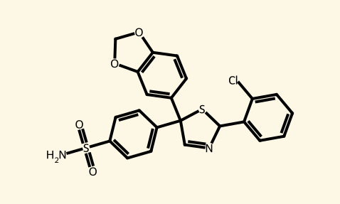 NS(=O)(=O)c1ccc(C2(c3ccc4c(c3)OCO4)C=NC(c3ccccc3Cl)S2)cc1